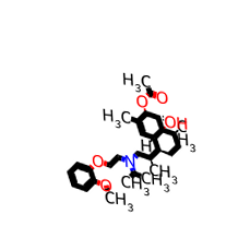 COc1ccccc1OCCN(C[C@@H](C)[C@@H]1CC[C@@H](C)[C@]2(O)[C][C@@H](OC(C)=O)C(C)=C[C@H]12)C(C)C